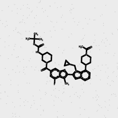 CC(=O)N1CCC(c2cccc3cc(-c4nn5cc(C(=O)N6CCCC(NC(=O)OC(C)(C)C)C6)cc(F)c5c4C)n(CC4CC4)c23)CC1